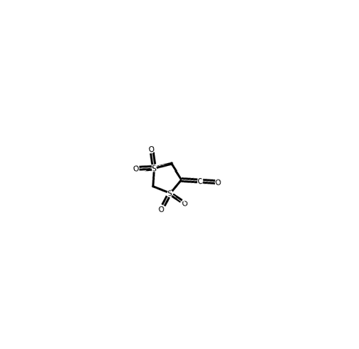 O=C=C1CS(=O)(=O)CS1(=O)=O